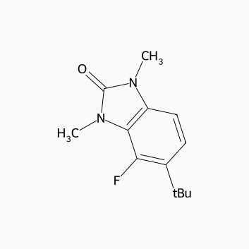 Cn1c(=O)n(C)c2c(F)c(C(C)(C)C)ccc21